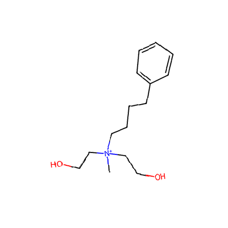 C[N+](CCO)(CCO)CCCCc1ccccc1